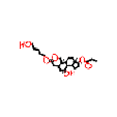 CCC(=O)O[C@H]1CCC2C3C(CC[C@@]21C)[C@@]1(C)CO[C@H](OCCCCCO)CC1C[C@@H]3O